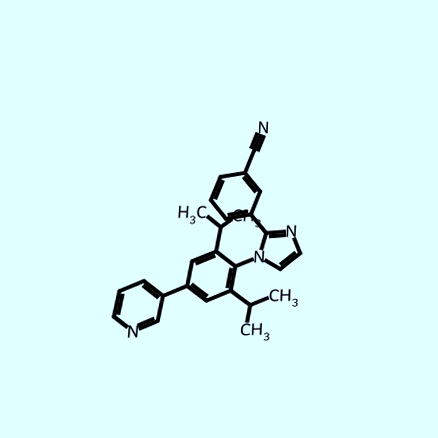 CC(C)c1cc(-c2cccnc2)cc(C(C)C)c1-n1ccnc1-c1cccc(C#N)c1